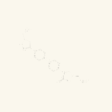 CC(=O)NC[C@@H]1CN(c2ccc(-c3ccc(C4=NOC(CO)C4)cc3)cc2)C(=O)O1